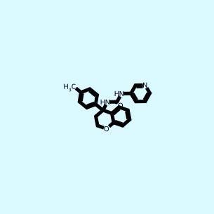 Cc1ccc(C2(NC(=O)Nc3cccnc3)CCOc3ccccc32)cc1